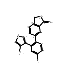 Cc1conc1-c1cc(F)ccc1-c1ccc2c(c1)C(=O)NC2